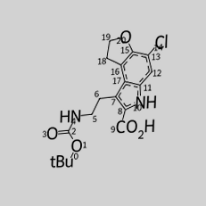 CC(C)(C)OC(=O)NCCc1c(C(=O)O)[nH]c2cc(Cl)c3c(c12)CCO3